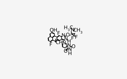 C#Cc1c(F)ccc2cc(O)cc(-c3c(F)cc4c(N5C=CCC6(C5)NC(=O)NC6=O)nc(OC[C@]5(CN(C)C)CC5(F)F)nc4c3F)c12